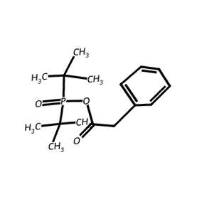 CC(C)(C)P(=O)(OC(=O)Cc1ccccc1)C(C)(C)C